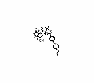 CCCN1CCN(c2ccc(C(=O)NC(C(=O)N3C[C@H](O)[C@H]4OCC(=O)[C@H]43)C(C)(C)C)cc2)CC1